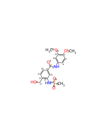 COc1ccc(NC(=O)c2ccc(CO)c(NS(C)(=O)=O)c2)cc1OC